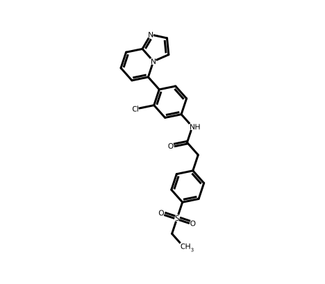 CCS(=O)(=O)c1ccc(CC(=O)Nc2ccc(-c3cccc4nccn34)c(Cl)c2)cc1